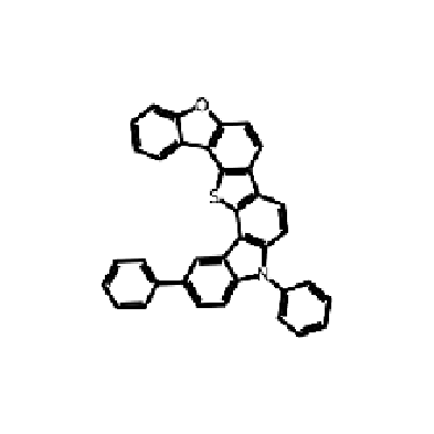 c1ccc(-c2ccc3c(c2)c2c4sc5c(ccc6oc7ccccc7c65)c4ccc2n3-c2ccccc2)cc1